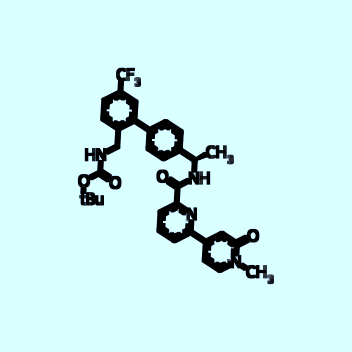 C[C@@H](NC(=O)c1cccc(-c2ccn(C)c(=O)c2)n1)c1ccc(-c2cc(C(F)(F)F)ccc2CNC(=O)OC(C)(C)C)cc1